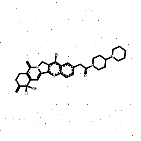 C=C1C2=C(C=C3c4nc5ccc(CC(=O)N6CCC(N7CCCCC7)CC6)cc5c(CC)c4CN13)C(O)(CC)C(=C)CC2